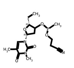 CC[C@H]1O[C@@H](n2cc(C)c(=O)n(C)c2=O)CC1OP(C)OCCC#N